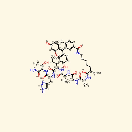 CC(=O)N[C@H](CCCCCNC(=O)c1ccc(C(=O)O)c(-c2c3ccc(=O)cc-3oc3cc(O)ccc23)c1)C(=O)N[C@H](C)C(=O)N[C@H](C)C(=O)N[C@H](C)C(=O)N[C@H](CCC(=O)O)C(=O)N[C@H](Cc1c[nH]cn1)C(=O)NC(C(N)=O)[C@H](C)O